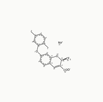 Cc1ccc(C)c(Oc2ccc3c(c2)O[C@@H](C(F)(F)F)C(C(=O)[O-])=C3)c1.[Na+]